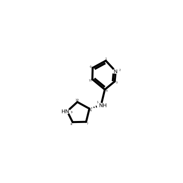 c1cncc(N[C@@H]2CCNC2)c1